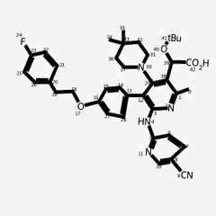 Cc1nc(Nc2ccc(C#N)cn2)c(-c2ccc(OCCc3ccc(F)cc3)cc2)c(N2CCC(C)(C)CC2)c1C(OC(C)(C)C)C(=O)O